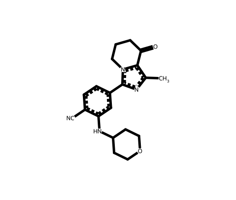 Cc1nc(-c2ccc(C#N)c(NC3CCOCC3)c2)n2c1C(=O)CCC2